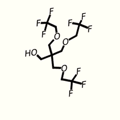 OCC(COCC(F)(F)F)(COCC(F)(F)F)COCC(F)(F)F